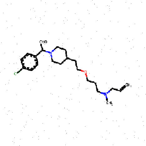 C=CCN(C)CCCOCCC1CCN(C(C=O)c2ccc(Cl)cc2)CC1